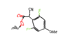 CCCCOC(=O)C(C#N)c1c(F)cc(OC)cc1F